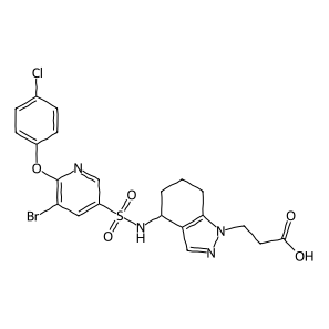 O=C(O)CCn1ncc2c1CCCC2NS(=O)(=O)c1cnc(Oc2ccc(Cl)cc2)c(Br)c1